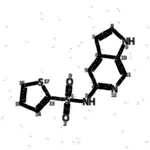 O=S(=O)(Nc1cc2cc[nH]c2cn1)c1cccs1